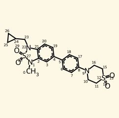 CN1c2cc(-c3ccc(N4CCS(=O)(=O)CC4)cc3)ccc2N(CC2CC2)S1(=O)=O